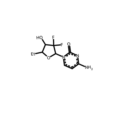 CCC1OC(n2ccc(N)nc2=O)C(F)(F)C1O